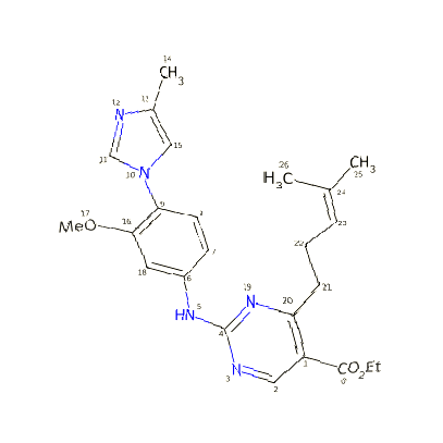 CCOC(=O)c1cnc(Nc2ccc(-n3cnc(C)c3)c(OC)c2)nc1CCC=C(C)C